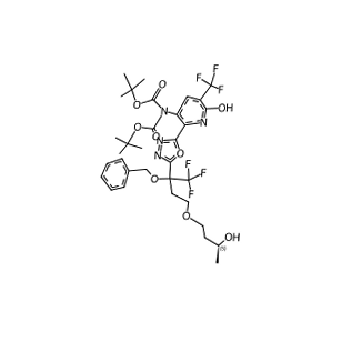 C[C@H](O)CCOCCC(OCc1ccccc1)(c1nnc(-c2nc(O)c(C(F)(F)F)cc2N(C(=O)OC(C)(C)C)C(=O)OC(C)(C)C)o1)C(F)(F)F